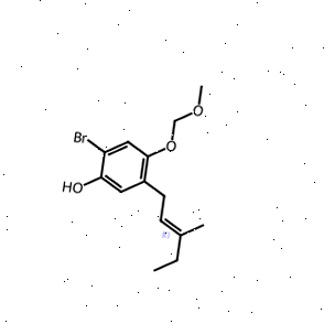 CC/C(C)=C/Cc1cc(O)c(Br)cc1OCOC